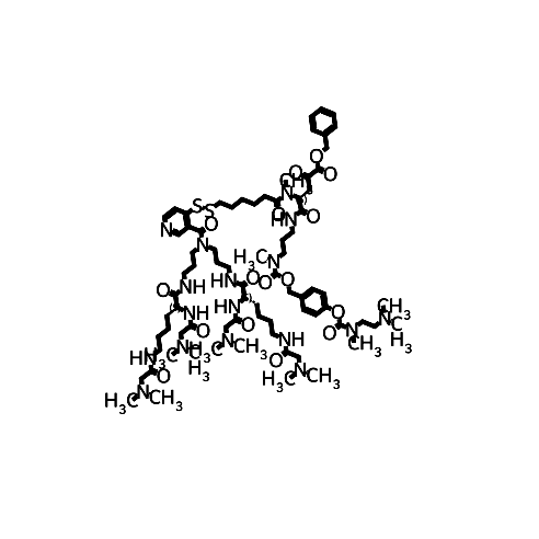 CN(C)CCN(C)C(=O)Oc1ccc(COC(=O)N(C)CCCNC(=O)[C@H](CC(=O)C(=O)OCc2ccccc2)N(C)C(=O)CCCCCSSc2ccncc2C(=O)N(CCCNC(=O)[C@H](CCCCNC(=O)CN(C)C)NC(=O)CN(C)C)CCCNC(=O)[C@H](CCCCNC(=O)CN(C)C)NC(=O)CN(C)C)cc1